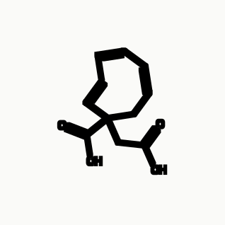 O=C(O)CC1(C(=O)O)/C=C/C=C\C=C/C1